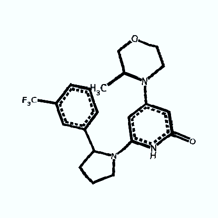 CC1COCCN1c1cc(N2CCCC2c2cccc(C(F)(F)F)c2)[nH]c(=O)c1